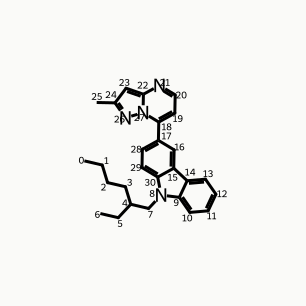 CCCCC(CC)Cn1c2ccccc2c2cc(-c3ccnc4cc(C)nn34)ccc21